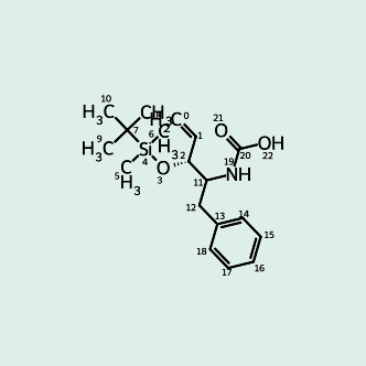 C=C[C@@H](O[Si](C)(C)C(C)(C)C)C(Cc1ccccc1)NC(=O)O